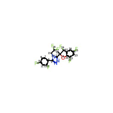 CC1(c2nnc(-c3ccc(F)cc3F)n2CC(F)F)Oc2c(F)cc(F)cc2C1F